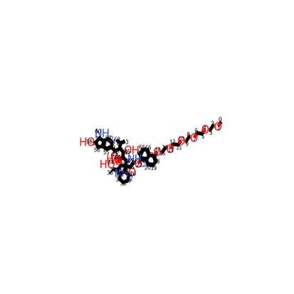 COCCOCCOCCOCCOCCOc1cccc2c(OCC(=O)C(C(=O)[C@@H](N)[C@@H](C)O)(C3CCCCC3)C(N)C(O)C(O)C(C(=O)c3ccc4c(c3)C[C@@H](O)[C@H]4N)C(C)C)cccc12